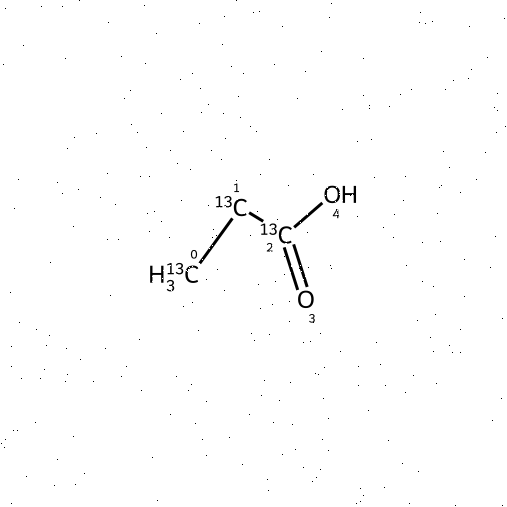 [13CH3][13CH2][13C](=O)O